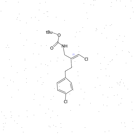 CC(C)(C)OC(=O)NC/C(=C/Cl)CCc1ccc(Cl)cc1